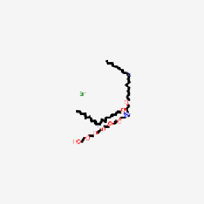 CCCCCCCC/C=C\CCCCCCCCOCC(C[N+](C)(C)CCOCCOCCOCCOCCOCCO)OCCCCCCCC/C=C\CCCCCCCC.[Br-]